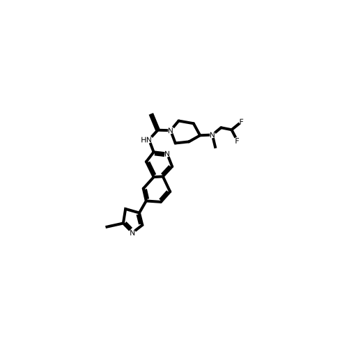 C=C(Nc1cc2cc(C3=CN=C(C)C3)ccc2cn1)N1CCC(N(C)CC(F)F)CC1